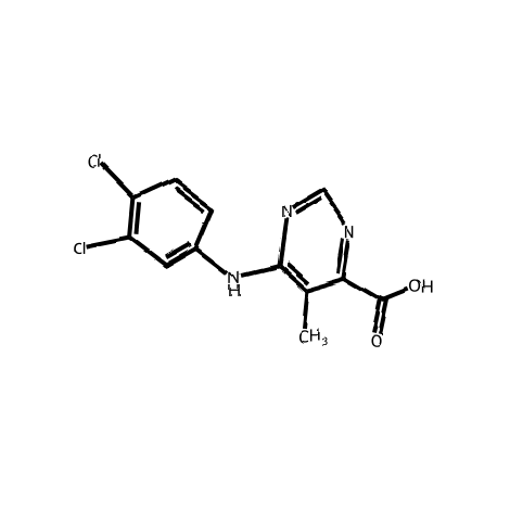 Cc1c(Nc2ccc(Cl)c(Cl)c2)ncnc1C(=O)O